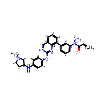 C=CC(=O)N(N)c1cccc(-c2cccc3cnc(Nc4ccc(NC5CCN(C)C5)cc4)nc23)c1